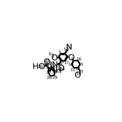 COc1cc(C#N)c(OC2CCC(C=O)CC2)cc1C(=O)NC1C(C(=O)O)C2CC[C@H]1C2